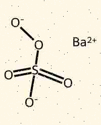 O=S(=O)([O-])O[O-].[Ba+2]